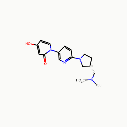 CC(C)(C)N(C[C@H]1CCN(c2ccc(-n3ccc(O)cc3=O)cn2)C1)C(=O)O